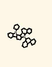 c1ccc(-n2c3ccccc3c3ccc4c(c5ccc6ccccc6c5n4-c4cc5ccccc5c5ccccc45)c32)cc1